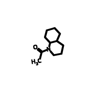 CC(=O)N1CCCC2CCCCC21